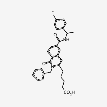 CC(NC(=O)c1ccc2c(=O)n(Cc3ccccc3)c(CCCCC(=O)O)cc2c1)c1ccc(F)cc1